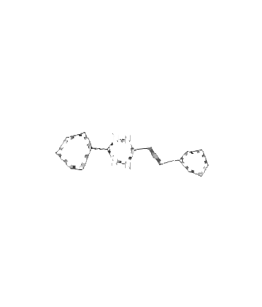 C(=C\c1nnc(-c2ccccc2)nn1)/c1ccccc1